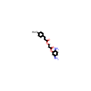 COc1ccc(/C=C/C(=O)OCCC(=O)Oc2cc(N)ccc2N)cc1